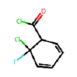 O=C(Cl)C1C=CC=CC1(F)Cl